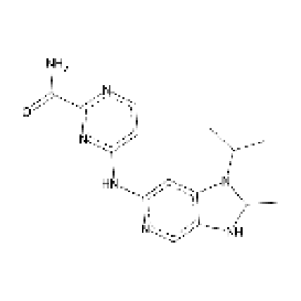 CC(C)N1c2cc(Nc3ccnc(C(N)=O)n3)ncc2NC1C